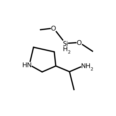 CC(N)C1CCNC1.CO[SiH2]OC